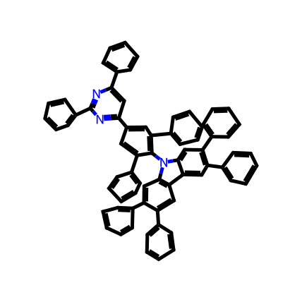 c1ccc(-c2cc(-c3cc(-c4ccccc4)c(-n4c5cc(-c6ccccc6)c(-c6ccccc6)cc5c5cc(-c6ccccc6)c(-c6ccccc6)cc54)c(-c4ccccc4)c3)nc(-c3ccccc3)n2)cc1